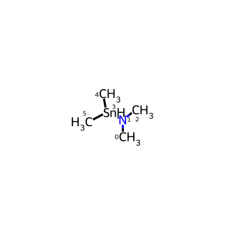 C[N](C)[SnH]([CH3])[CH3]